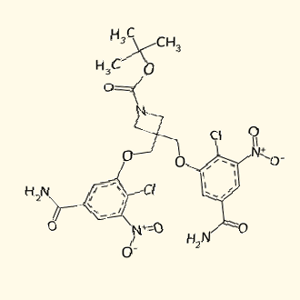 CC(C)(C)OC(=O)N1CC(COc2cc(C(N)=O)cc([N+](=O)[O-])c2Cl)(COc2cc(C(N)=O)cc([N+](=O)[O-])c2Cl)C1